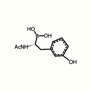 CC(=O)N[C@@H](Cc1cccc(O)c1)B(O)O